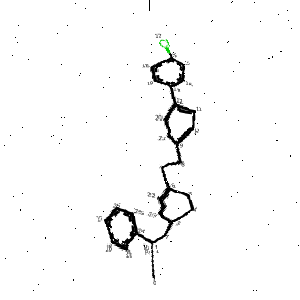 C[C@H](CC1CCC(CCC2=CC=C(c3ccc(Cl)cc3)CC2)CC1)c1ccccc1